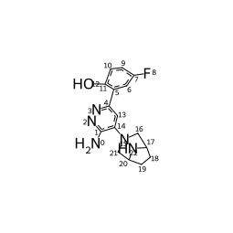 Nc1nnc(-c2cc(F)ccc2O)cc1N1CC2CCC(C1)N2